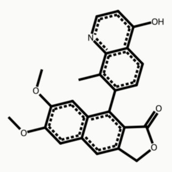 COc1cc2cc3c(c(-c4ccc5c(O)ccnc5c4C)c2cc1OC)C(=O)OC3